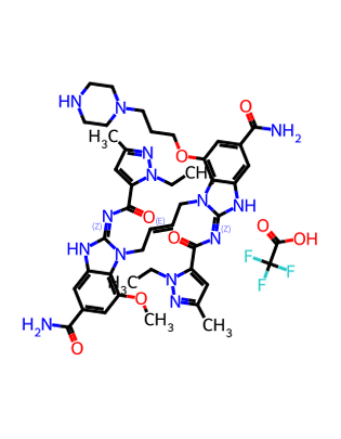 CCn1nc(C)cc1C(=O)/N=c1/[nH]c2cc(C(N)=O)cc(OC)c2n1C/C=C/Cn1/c(=N\C(=O)c2cc(C)nn2CC)[nH]c2cc(C(N)=O)cc(OCCCN3CCNCC3)c21.O=C(O)C(F)(F)F